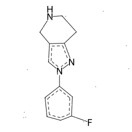 Fc1cccc(-n2cc3c(n2)CCNC3)c1